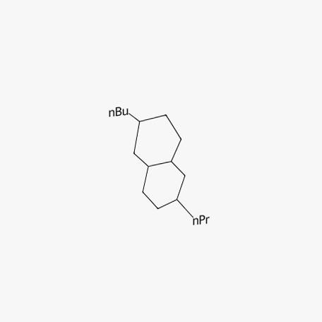 CCCCC1CCC2CC(CCC)CCC2C1